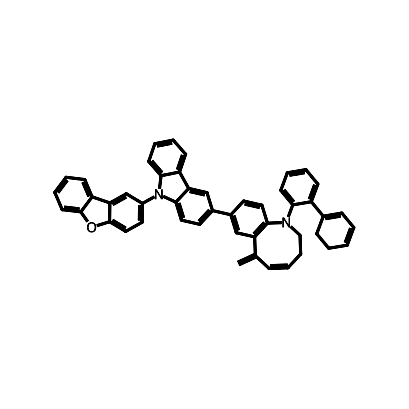 C=C1/C=C\CCN(c2ccccc2C2=CC=CCC2)c2ccc(-c3ccc4c(c3)c3ccccc3n4-c3ccc4oc5ccccc5c4c3)cc21